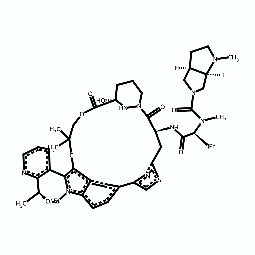 CCn1c(-c2cccnc2[C@H](C)OC)c2c3cc(ccc31)-c1csc(n1)C[C@H](NC(=O)[C@H](C(C)C)N(C)C(=O)N1C[C@H]3CCN(C)[C@H]3C1)C(=O)N1CCC[C@@](O)(N1)C(=O)OCC(C)(C)C2